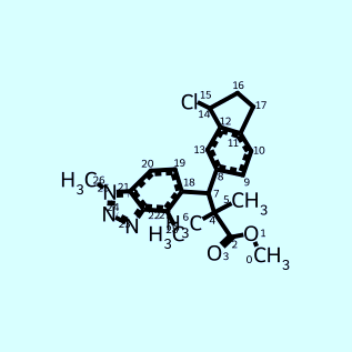 COC(=O)C(C)(C)C(c1ccc2c(c1)C(Cl)CC2)c1ccc2c(nnn2C)c1C